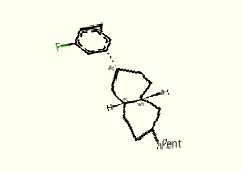 CCCCCC1CC[C@@H]2C[C@H](c3cccc(F)c3)CC[C@@H]2C1